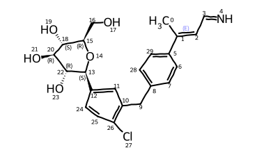 C/C(=C\C=N)c1ccc(Cc2cc([C@@H]3O[C@H](CO)[C@@H](O)[C@H](O)[C@H]3O)ccc2Cl)cc1